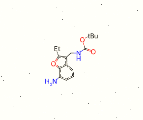 CCc1oc2c(N)cccc2c1CNC(=O)OC(C)(C)C